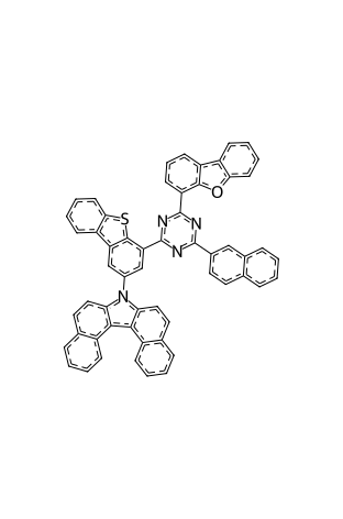 c1ccc2cc(-c3nc(-c4cccc5c4oc4ccccc45)nc(-c4cc(-n5c6ccc7ccccc7c6c6c7ccccc7ccc65)cc5c4sc4ccccc45)n3)ccc2c1